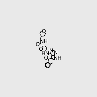 Cc1ccccc1C(=O)c1c[nH]c2ncnc(N[C@@H]3CC[C@@H](C(=O)NCC4CCOCC4)OC3)c12